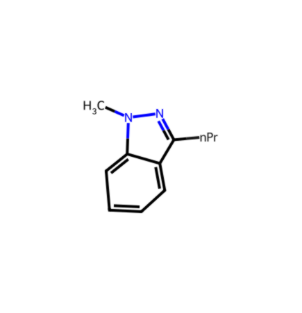 CCCc1nn(C)c2ccccc12